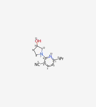 CC(C)c1ccc(C#N)c(N2CCC(O)C2)n1